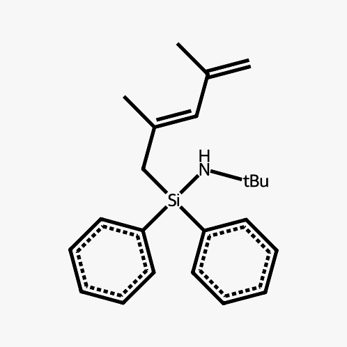 C=C(C)C=C(C)C[Si](NC(C)(C)C)(c1ccccc1)c1ccccc1